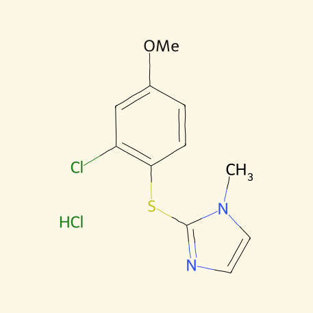 COc1ccc(Sc2nccn2C)c(Cl)c1.Cl